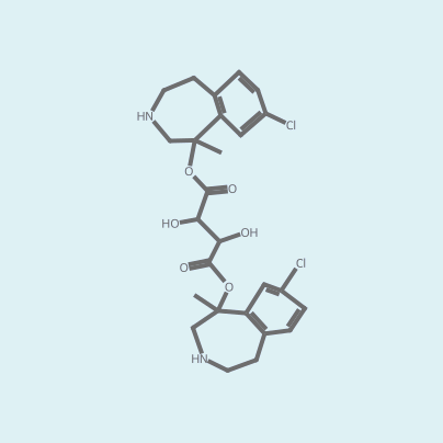 CC1(OC(=O)C(O)C(O)C(=O)OC2(C)CNCCc3ccc(Cl)cc32)CNCCc2ccc(Cl)cc21